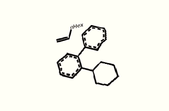 C=CCCCCCC.c1ccc(-c2ccccc2C2CCCCC2)cc1